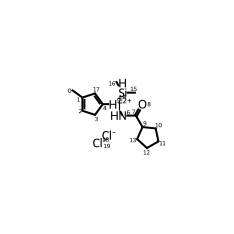 CC1=CC[C]([Hf+2]([NH]C(=O)C2CCCC2)[SiH](C)C)=C1.[Cl-].[Cl-]